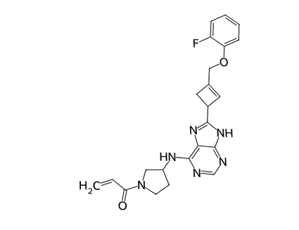 C=CC(=O)N1CCC(Nc2ncnc3[nH]c(C4C=C(COc5ccccc5F)C4)nc23)C1